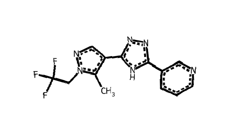 Cc1c(-c2nnc(-c3cccnc3)[nH]2)cnn1CC(F)(F)F